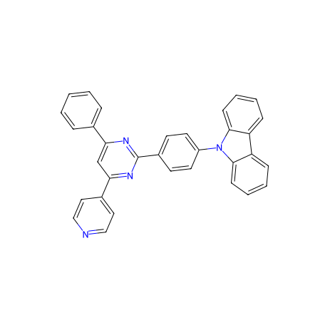 c1ccc(-c2cc(-c3ccncc3)nc(-c3ccc(-n4c5ccccc5c5ccccc54)cc3)n2)cc1